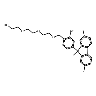 CC(=O)c1cc(C2(C)c3cc(C)ccc3-c3ccc(C)cc32)ccc1COCCOCCOCCO